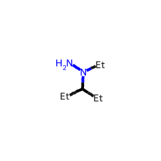 CCC(CC)N(N)CC